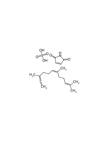 C=C=C(C)CCC=C(C)CCC=C(C)C.O=C1C=CC(=O)N1.O=S(=O)(O)O